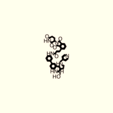 O=C(C=Cc1cccc2c1C(=O)N(C1CCC(=O)NC1=O)C2=O)Nc1cccc(-c2ccc3c(c2)[C@H]2[C@H](CCN2Cc2ccncc2)[C@@H](CO)N3)c1